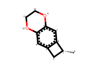 C[C@@H]1Cc2cc3c(cc21)OCCO3